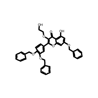 O=c1c(OCCO)c(-c2ccc(OCc3ccccc3)c(OCc3ccccc3)c2)oc2cc(OCc3ccccc3)cc(O)c12